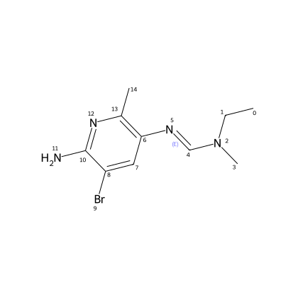 CCN(C)/C=N/c1cc(Br)c(N)nc1C